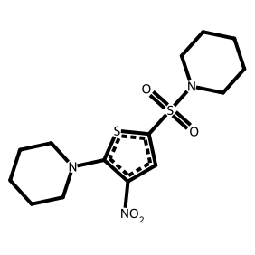 O=[N+]([O-])c1cc(S(=O)(=O)N2CCCCC2)sc1N1CCCCC1